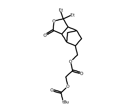 CCC1(CC)OC(=O)C2C3CC(CC3COC(=O)COC(=O)C(C)(C)C)C21